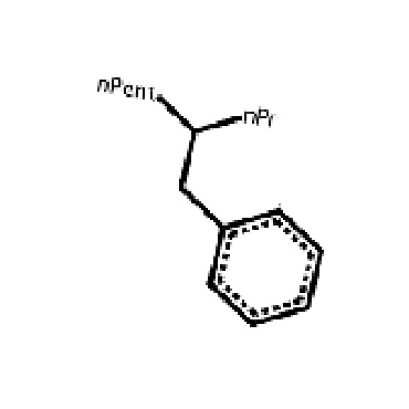 CCCCCC(CCC)Cc1[c]cccc1